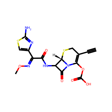 C#CC1=C(OC(=O)O)N2C(=O)C(NC(=O)C(=NOC)c3csc(N)n3)[C@@H]2SC1